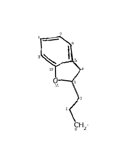 [CH2]CCC1Cc2ccccc2O1